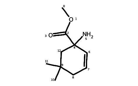 COC(=O)C1(N)C=CCC(C)(C)C1